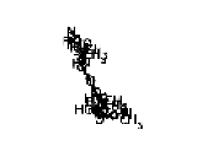 Cc1ncsc1-c1ccc(CNC(=O)[C@@H]2C[C@@H](O)CN2C(=O)[C@@H](NC(=O)COCCCOCCCCOc2ncc(N3C(=S)N(c4ccc(C#N)c(C(F)(F)F)c4F)C(=O)C3(C)C)cc2F)C(C)(C)C)cc1